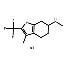 CNC1CCc2c(sc(C(F)(F)F)c2C)C1.Cl